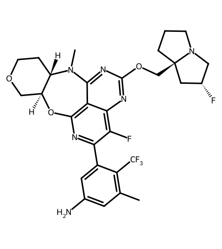 Cc1cc(N)cc(-c2nc3c4c(nc(OC[C@@]56CCCN5C[C@H](F)C6)nc4c2F)N(C)[C@H]2CCOC[C@@H]2O3)c1C(F)(F)F